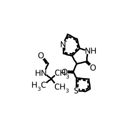 CC(C)(C)NC=O.O=C1Nc2ccncc2C1C(=O)c1cccs1